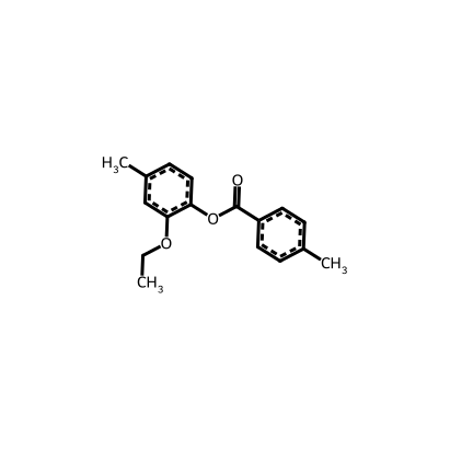 CCOc1cc(C)ccc1OC(=O)c1ccc(C)cc1